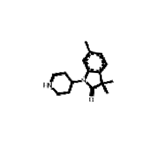 Cc1ccc2c(c1)N(C1CCNCC1)C(=O)C2(C)C